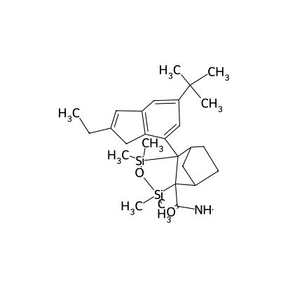 CCC1=Cc2cc(C(C)(C)C)cc(C34C5CCC(C5)C3(C([NH])=O)[Si](C)(C)O[Si]4(C)C)c2C1